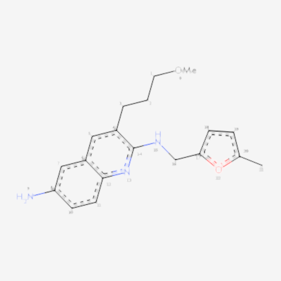 COCCCc1cc2cc(N)ccc2nc1NCc1ccc(C)o1